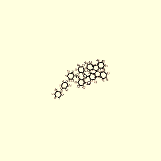 c1ccc(-c2ccc(-c3cccc(N(c4ccccc4)c4cccc5c4Oc4cc6c(cc4O5)-c4ccccc4C64c5ccccc5-c5ccccc54)c3)cc2)cc1